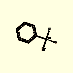 C[C@](F)(Br)c1ccccc1